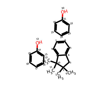 CC1(C)Cc2ccccc2C1(C)C.Oc1ccccc1.Oc1ccccc1